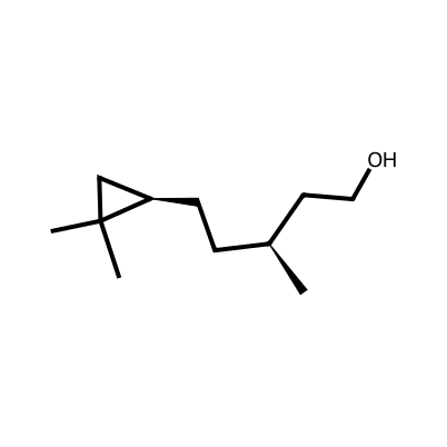 C[C@H](CCO)CC[C@@H]1CC1(C)C